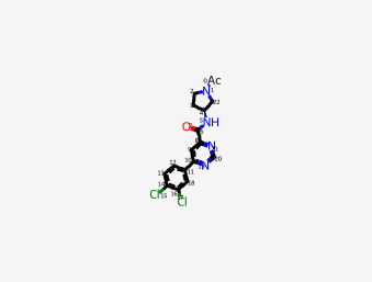 CC(=O)N1CC[C@H](NC(=O)c2cc(-c3ccc(Cl)c(Cl)c3)ncn2)C1